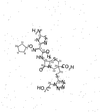 Nc1nc(C(=NOC2CCCC2)C(=O)NC2C(=O)N3CC(CSc4nnnn4CC(=O)O)(C(=O)O)CS[C@H]23)ns1